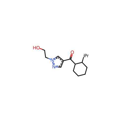 CC(C)C1CCCCC1C(=O)c1cnn(CCO)c1